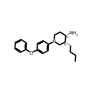 CCCC[C@@H]1CN(c2ccc(Oc3ccccc3)cc2)CC[C@@H]1N